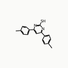 Cc1ccc(-c2cc(-c3ccc(C)cc3)nc(S)n2)cc1